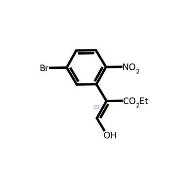 CCOC(=O)/C(=C\O)c1cc(Br)ccc1[N+](=O)[O-]